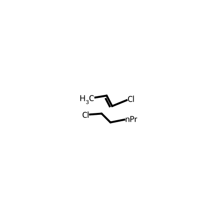 CC=CCl.CCCCCCl